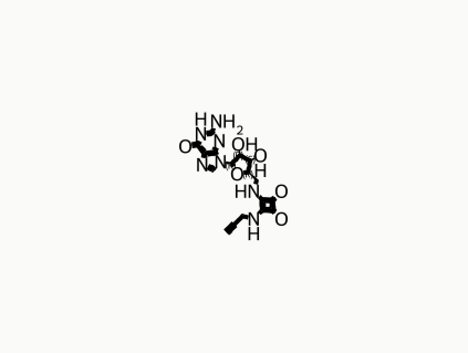 C#CCNc1c(NC[C@H]2O[C@@H](n3cnc4c(=O)[nH]c(N)nc43)[C@H](O)[C@@H]2O)c(=O)c1=O